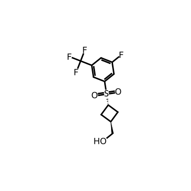 O=S(=O)(c1cc(F)cc(C(F)(F)F)c1)[C@H]1C[C@H](CO)C1